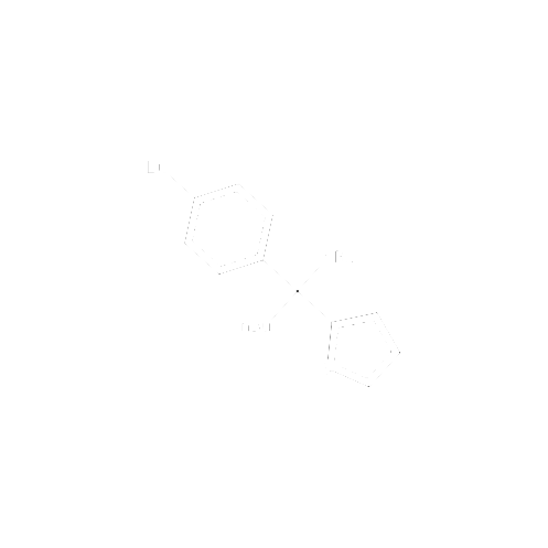 CCCCC(CCCC)(c1ccc(CC)cc1)c1cccs1